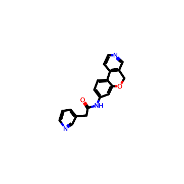 O=C(Cc1cccnc1)Nc1ccc2c(c1)OCc1cnccc1-2